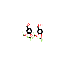 O=Cc1ccc(OC(F)F)c(OC(F)F)c1.OCc1ccc(OC(F)F)c(OC(F)F)c1